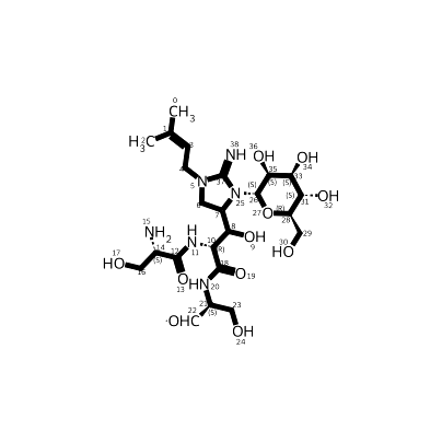 CC(C)=CCN1CC(C(O)[C@@H](NC(=O)[C@@H](N)CO)C(=O)N[C@H]([C]=O)CO)N([C@H]2O[C@H](CO)[C@@H](O)[C@H](O)[C@@H]2O)C1=N